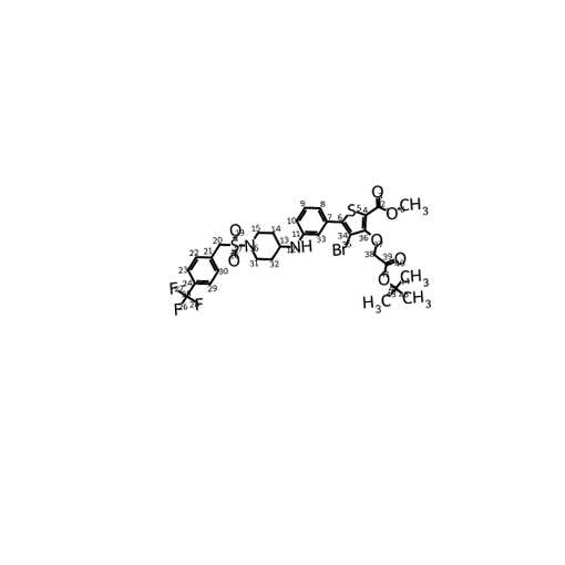 COC(=O)c1sc(-c2cccc(NC3CCN(S(=O)(=O)Cc4ccc(C(F)(F)F)cc4)CC3)c2)c(Br)c1OCC(=O)OC(C)(C)C